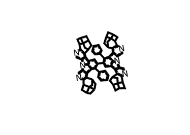 c1ccc(-c2c(-c3cc4c5c6c(ncc5n5c7cnc8c(c7c(c3-c3ccccc3)c45)C3CC4CC5CC8C45C3)C3CC4CC5CC6CC543)cc3c4c5c(ncc4n4c6cnc7c(c6c2c34)C2CC3CC4CC7C34C2)C2CC3CC4CC5CC432)cc1